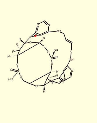 O=P1(O)OCC2O[C@@H]3[C@H](F)[C@@H]2O[P@@](O)(=S)OC[C@H]2O[C@H]([C@H](F)[C@@H]2O1)n1cnc2c(ncnc21)NC/C=C/CNc1ncnc2c1ncn23